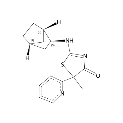 CC1(c2ccccn2)SC(N[C@H]2C[C@@H]3CC[C@H]2C3)=NC1=O